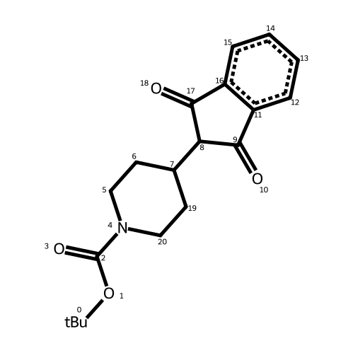 CC(C)(C)OC(=O)N1CCC(C2C(=O)c3ccccc3C2=O)CC1